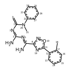 C=C(/N=C(N)\N=C(/N)c1noc(-c2ccccc2C)n1)N(C)c1ccccc1